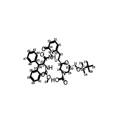 COC(=O)N[C@H](C(=O)Nn1c(CC[C@@H]2CN(C(=O)O)C[C@@H](CO[Si](C)(C)C(C)(C)C)O2)cccc1=O)C(c1ccccc1)c1ccccc1